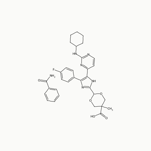 CC1(C(=O)O)COC(c2nc(-c3ccc(F)cc3)c(-c3ccnc(NC4CCCCC4)n3)[nH]2)OC1.NC(=O)c1ccccc1